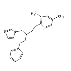 Cc1ccc(CCC(CCc2ccccc2)Cn2ccnc2)c(C)c1